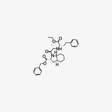 CCOC(=O)[C@H](CCc1ccccc1)N[C@@H](C)C(=O)N1[C@@H](C(=O)OCc2ccccc2)C[C@@H]2CCCC[C@H]21